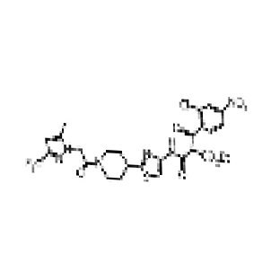 CCOC(=O)C(C(=O)Nc1csc(C2CCN(C(=O)Cn3nc(C(F)(F)F)cc3C)CC2)n1)C(=O)c1ccc([N+](=O)[O-])cc1Cl